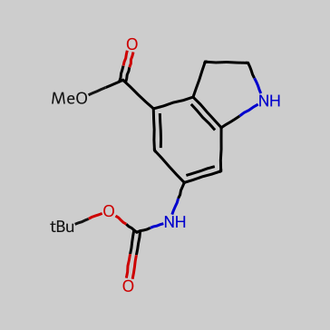 COC(=O)c1cc(NC(=O)OC(C)(C)C)cc2c1CCN2